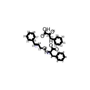 O=C(O)/C(Cc1ccccc1)=N\OC/C=C/c1ccccc1.O=C(O)C(=O)Cc1ccccc1